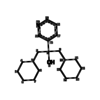 OC(CC1CCCCC1)(CC1CCCCC1)c1cccnc1